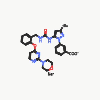 CC(C)(C)c1cc(NC(=O)NCc2ccccc2Oc2ccnc(N3CCOCC3)n2)n(-c2cccc(C(=O)[O-])c2)n1.[Na+]